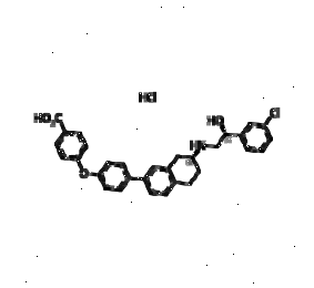 Cl.O=C(O)c1ccc(Oc2ccc(-c3ccc4c(c3)C[C@@H](NC[C@@H](O)c3cccc(Cl)c3)CC4)cc2)cc1